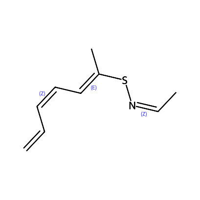 C=C/C=C\C=C(/C)S/N=C\C